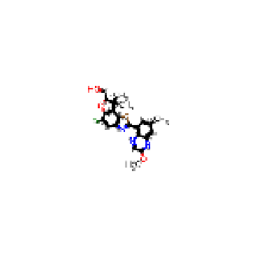 COc1cnc2c(-c3nc4cc(F)c5c(c4s3)C(C)(C)[C@H](CO)O5)cc(C)cc2n1